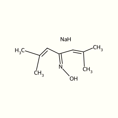 CC(C)=CC(C=C(C)C)=NO.[NaH]